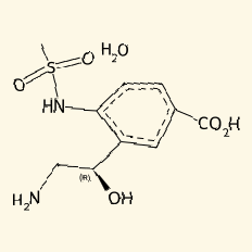 CS(=O)(=O)Nc1ccc(C(=O)O)cc1[C@@H](O)CN.O